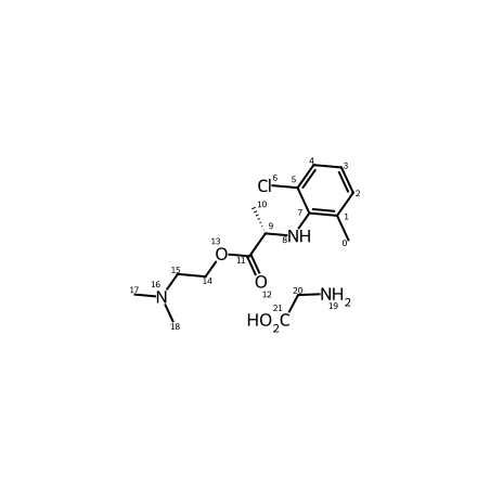 Cc1cccc(Cl)c1N[C@@H](C)C(=O)OCCN(C)C.NCC(=O)O